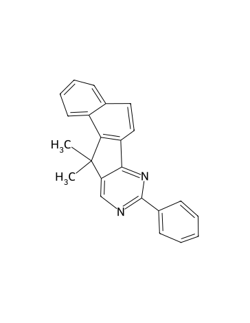 CC1(C)c2cnc(-c3ccccc3)nc2-c2ccc3ccccc3c21